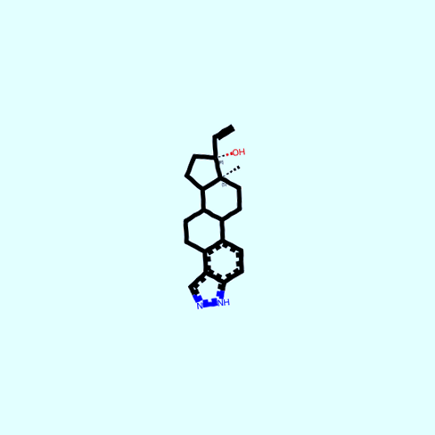 C=C[C@]1(O)CCC2C3CCc4c(ccc5[nH]ncc45)C3CC[C@@]21C